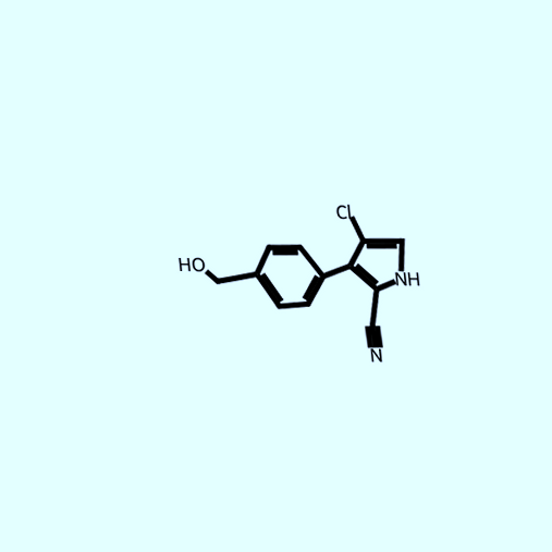 N#Cc1[nH]cc(Cl)c1-c1ccc(CO)cc1